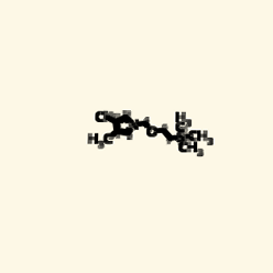 Cc1cn(COCC[Si](C)(C)C)cc1Cl